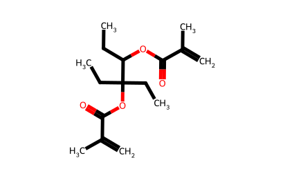 C=C(C)C(=O)OC(CC)C(CC)(CC)OC(=O)C(=C)C